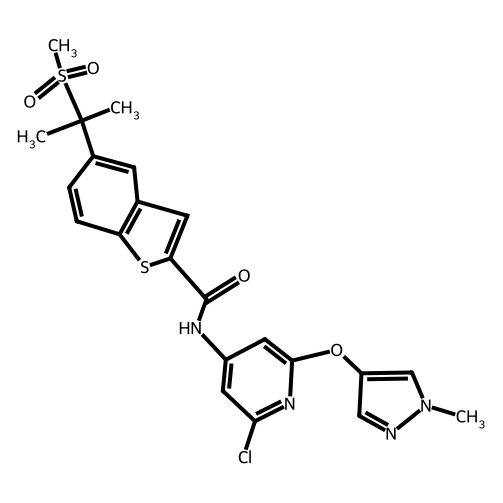 Cn1cc(Oc2cc(NC(=O)c3cc4cc(C(C)(C)S(C)(=O)=O)ccc4s3)cc(Cl)n2)cn1